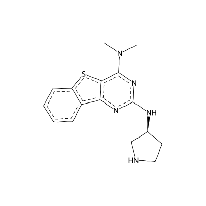 CN(C)c1nc(N[C@H]2CCNC2)nc2c1sc1ccccc12